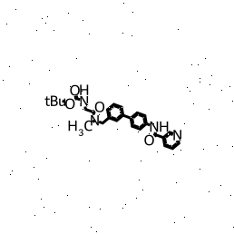 CN(Cc1cccc(-c2ccc(NC(=O)c3cccnc3)cc2)c1)C(=O)CNC(=O)OC(C)(C)C